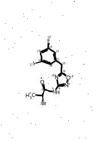 CC(Br)C(=O)Nc1noc(Cc2cc(F)cc(F)c2)n1